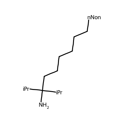 CCCCCCCCCCCCCCCC(N)(C(C)C)C(C)C